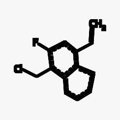 C=Cc1cc(F)c(CCl)c2ccccc12